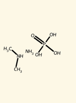 CNC.N.O=P(O)(O)O